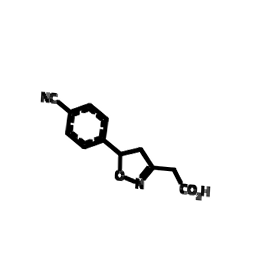 N#Cc1ccc(C2CC(CC(=O)O)=NO2)cc1